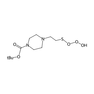 CC(C)(C)OC(=O)N1CCN(CCSOOO)CC1